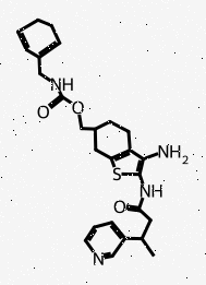 CC(CC(=O)Nc1sc2c(c1N)CCC(COC(=O)NCC1=CCCC=C1)C2)c1cccnc1